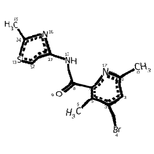 Cc1cc(Br)c(C)c(C(=O)Nc2csc(C)n2)n1